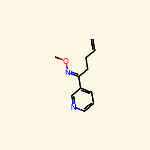 C=CCCC(=NOC)c1cccnc1